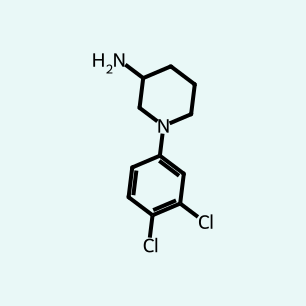 NC1CCCN(c2ccc(Cl)c(Cl)c2)C1